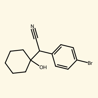 N#CC(c1ccc(Br)cc1)C1(O)CCCCC1